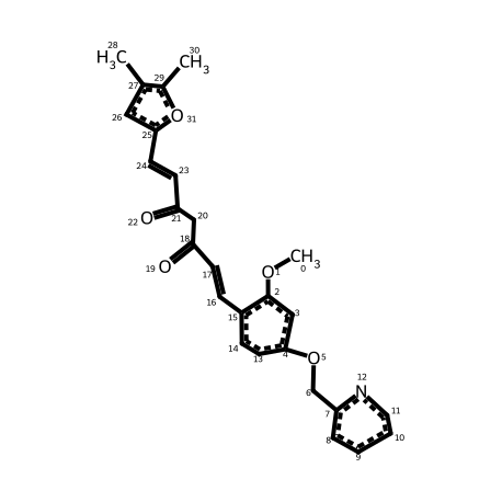 COc1cc(OCc2ccccn2)ccc1/C=C/C(=O)CC(=O)/C=C/c1cc(C)c(C)o1